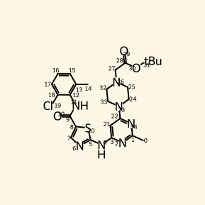 Cc1nc(Nc2ncc(C(=O)Nc3c(C)cccc3Cl)s2)cc(N2CCN(CC(=O)OC(C)(C)C)CC2)n1